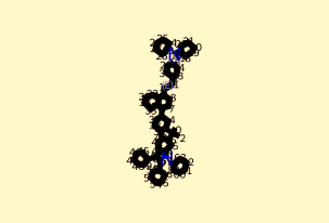 CC1(C)c2cc(-c3ccc(/C=C/c4ccc(N(c5ccccc5)c5ccccc5)cc4)c4ccccc34)ccc2-c2cc3c(-c4ccccc4)c(-c4ccccc4)n(-c4ccccc4)c3cc21